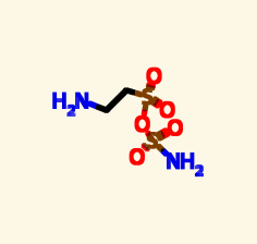 NCCS(=O)(=O)OS(N)(=O)=O